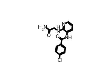 NC(=O)CNc1ncccc1NC(=O)c1ccc(Cl)cc1